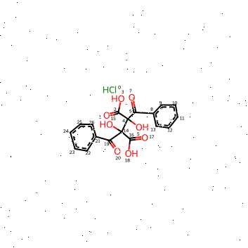 Cl.O=C(O)C(O)(C(=O)c1ccccc1)C(O)(C(=O)O)C(=O)c1ccccc1